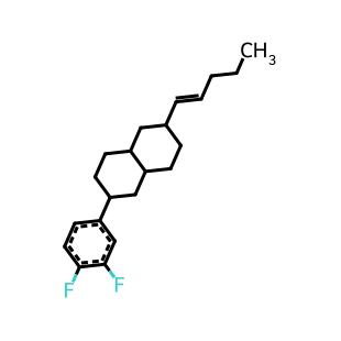 CCC/C=C/C1CCC2CC(c3ccc(F)c(F)c3)CCC2C1